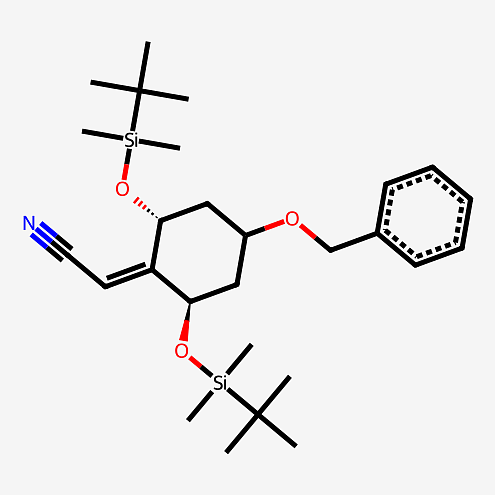 CC(C)(C)[Si](C)(C)O[C@@H]1CC(OCc2ccccc2)C[C@@H](O[Si](C)(C)C(C)(C)C)C1=CC#N